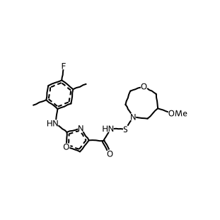 COC1COCCN(SNC(=O)c2coc(Nc3cc(C)c(F)cc3C)n2)C1